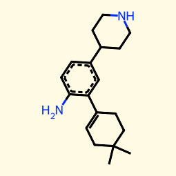 CC1(C)CC=C(c2cc(C3CCNCC3)ccc2N)CC1